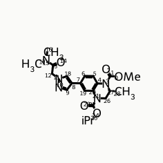 COC(=O)N1c2ccc(-c3cnn(CC(=O)N(C)C)c3)cc2N(C(=O)OC(C)C)C[C@@H]1C